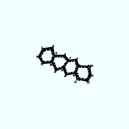 c1ccc2cc3cc4nccnc4cc3cc2c1